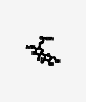 COC(=O)/C=C/N1C=C(C2OC(CO)C(O)C2O)C(=O)NC1NC(C)=O